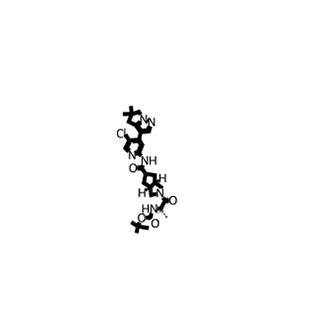 C[C@H](NC(=O)OC(C)(C)C)C(=O)N1C[C@H]2CC(C(=O)Nc3cc(-c4cnn5c4CC(C)(C)C5)c(Cl)cn3)C[C@H]2C1